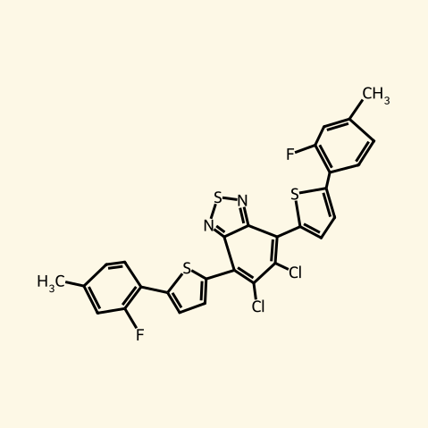 Cc1ccc(-c2ccc(-c3c(Cl)c(Cl)c(-c4ccc(-c5ccc(C)cc5F)s4)c4nsnc34)s2)c(F)c1